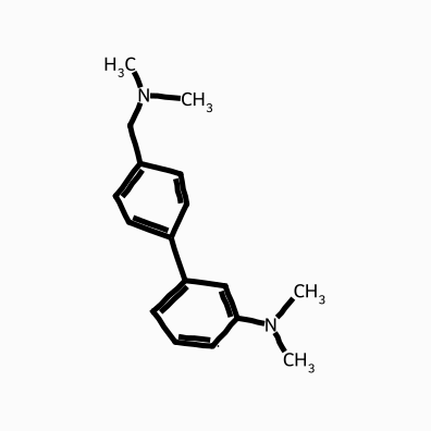 CN(C)Cc1ccc(-c2cc[c]c(N(C)C)c2)cc1